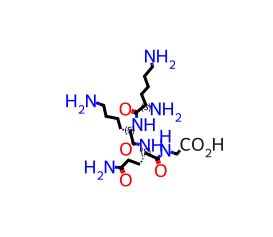 NCCCC[C@H](NC(=O)[C@@H](N)CCCCN)C(=O)N[C@@H](CCC(N)=O)C(=O)NCC(=O)O